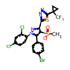 CS(=O)(=O)c1c(-c2nnc(C3(C(F)(F)F)CC3)s2)nn(-c2ccc(Cl)cc2Cl)c1-c1ccc(Br)cc1